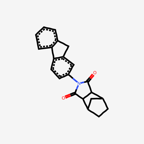 O=C1C2C3CCC(C3)C2C(=O)N1c1ccc2c(c1)Cc1ccccc1-2